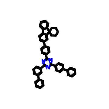 c1ccc(-c2ccc(-c3nc(-c4ccc(-c5ccc6c(c5)C5(CCCCC5)c5ccccc5-6)cc4)nc(-c4cccc(-c5ccccc5)c4)n3)cc2)cc1